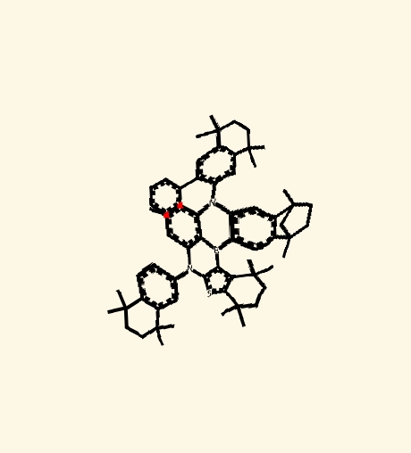 Cc1cc2c3c(c1)N(c1ccc4c(c1)C(C)(C)CCC4(C)C)c1sc4c(c1B3c1cc3c(cc1N2c1cc2c(cc1-c1ccccc1)C(C)(C)CCC2(C)C)C1(C)CCC3(C)C1)C(C)(C)CCC4(C)C